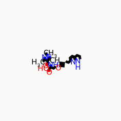 Cc1nc(C)c(C(=O)NC(CCO[C@H]2C[C@@H](CCc3ccc4c(n3)NCCC4)C2)C(=O)O)c(C)n1